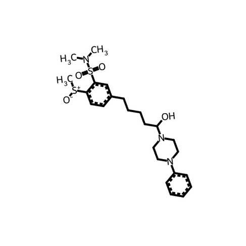 CN(C)S(=O)(=O)c1cc(CCCCC(O)N2CCN(c3ccccc3)CC2)ccc1[S+](C)[O-]